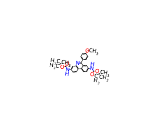 COc1ccc(-c2nc3cc(NC(=O)OC(C)(C)C)ccc3c3ccc(NC(=O)OC(C)(C)C)cc23)cc1